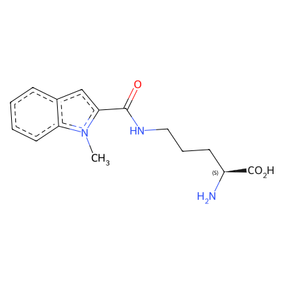 Cn1c(C(=O)NCCC[C@H](N)C(=O)O)cc2ccccc21